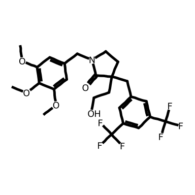 COc1cc(CN2CCC(CCO)(Cc3cc(C(F)(F)F)cc(C(F)(F)F)c3)C2=O)cc(OC)c1OC